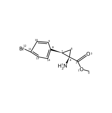 COC(=O)[C@@]1(N)C[C@@H]1c1ccc(Br)cc1